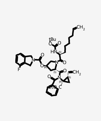 C=CCCCCC[C@H](NC(=O)OC(C)(C)C)C(=O)N1C[C@H](OC(=O)N2Cc3cccc(F)c3C2)C[C@H]1C(=O)N(C(=O)c1ccccc1)[C@]1(C(=O)OCC)C[C@H]1C=C